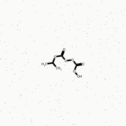 CC(C)OC(=O)OOC(=O)OO